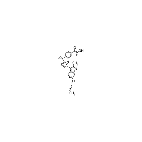 COCCOc1ccn2c(-c3csc(C4(c5ccc(C(=O)NO)cc5)CC4)n3)c(C)nc2c1